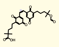 CC(C)(CCCC1=CC(=O)C=C(/C=C\C2=CC(=O)C=C(CCCC(C)(C)C(=O)O)C2=O)C1=O)OC=O